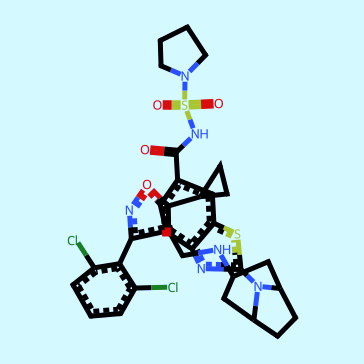 O=C(NS(=O)(=O)N1CCCC1)c1ccc2nc(N3C4CCC3CC(NCc3c(-c5c(Cl)cccc5Cl)noc3C3CC3)C4)sc2c1